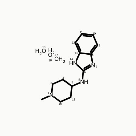 CN1CCC(Nc2nc3ccccc3[nH]2)CC1.O.O.O